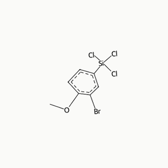 COc1ccc([Si](Cl)(Cl)Cl)cc1Br